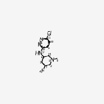 CN1CC(F)CC(Nc2ccc(Cl)nn2)C1